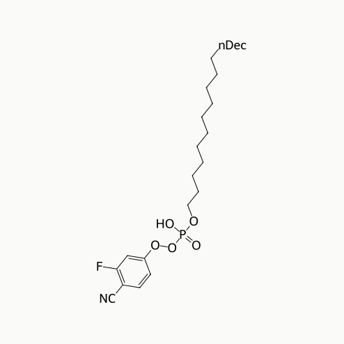 CCCCCCCCCCCCCCCCCCCCCOP(=O)(O)OOc1ccc(C#N)c(F)c1